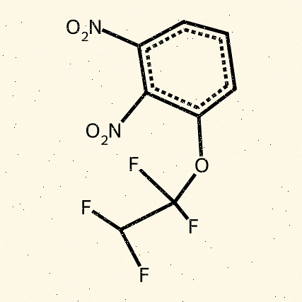 O=[N+]([O-])c1cccc(OC(F)(F)C(F)F)c1[N+](=O)[O-]